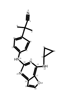 CC(C)(C#N)c1ccc(Nc2nc(NC3CC3)c3occc3n2)cc1